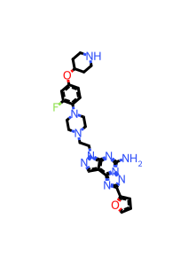 Nc1nc2c(cnn2CCN2CCN(c3ccc(OC4CCNCC4)cc3F)CC2)c2nc(-c3ccco3)nn12